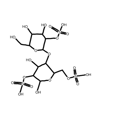 O=S(=O)(O)OCC1OC(O)C(OS(=O)(=O)O)C(O)C1OC1OC(CO)C(O)C(O)C1OS(=O)(=O)O